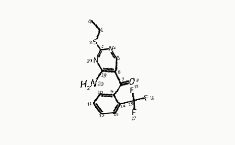 CCSc1ncc(C(=O)c2ccccc2C(F)(F)F)c(N)n1